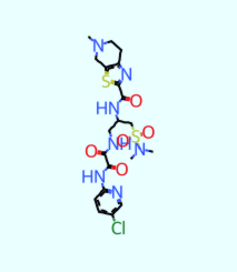 CN1CCc2nc(C(=O)NC(CNC(=O)C(=O)Nc3ccc(Cl)cn3)CS(=O)(=O)N(C)C)sc2C1